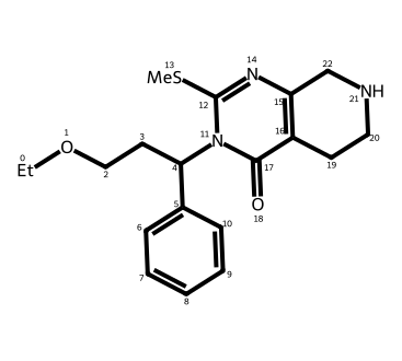 CCOCCC(c1ccccc1)n1c(SC)nc2c(c1=O)CCNC2